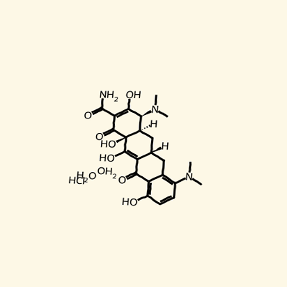 CN(C)c1ccc(O)c2c1C[C@H]1C[C@@H]3[C@H](N(C)C)C(O)=C(C(N)=O)C(=O)[C@@]3(O)C(O)=C1C2=O.Cl.O.O